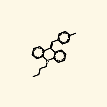 CCCCN1c2ccccc2C(=Cc2ccc(C)cc2)c2ccccc21